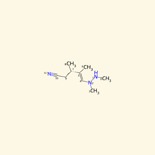 CNN(C)/C=C(\C)C(C)CC#N